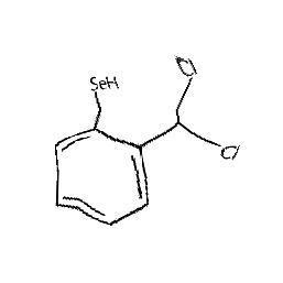 ClC(Cl)c1ccccc1[SeH]